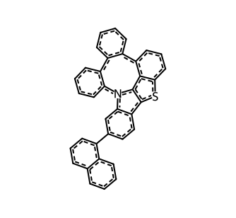 c1ccc2c(-c3ccc4c5sc6cccc7c8ccccc8c8ccccc8n(c4c3)c5c67)cccc2c1